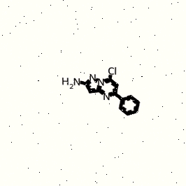 Nc1cc2nc(-c3ccccc3)cc(Cl)n2n1